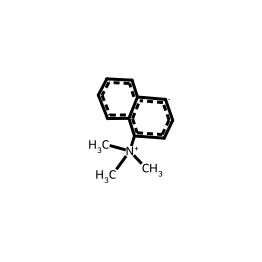 C[N+](C)(C)c1cc[c]c2ccccc12